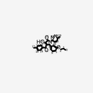 CCCOc1cccc(C2C(C(=O)c3ccc(C)cc3)=C(O)C(=O)N2c2ccc(C)nn2)c1